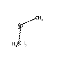 CCCCCCCCCCCCCCCCCC(=O)OC(=O)CCCCCCCCCCCCCCC(C)C